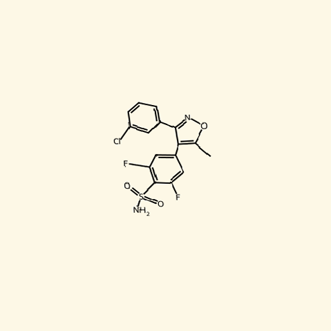 Cc1onc(-c2cccc(Cl)c2)c1-c1cc(F)c(S(N)(=O)=O)c(F)c1